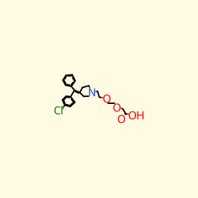 O=C(O)COCCOCCN1CCC(=C(c2ccccc2)c2ccc(Cl)cc2)CC1